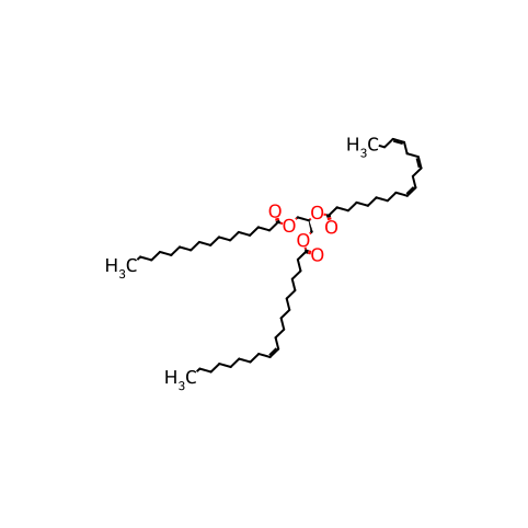 CC/C=C\C/C=C\C/C=C\CCCCCCCC(=O)O[C@@H](COC(=O)CCCCCCCCC/C=C\CCCCCCCC)COC(=O)CCCCCCCCCCCCCCC